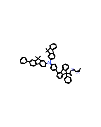 C=C(/C=C\C=C/C)C1(c2ccccc2)c2ccccc2-c2c(-c3ccc(N(c4ccc5c(c4)C(C)(C)c4ccccc4-5)c4ccc5c(c4)C(C)(C)c4cc(-c6ccccc6)ccc4-5)cc3)cccc21